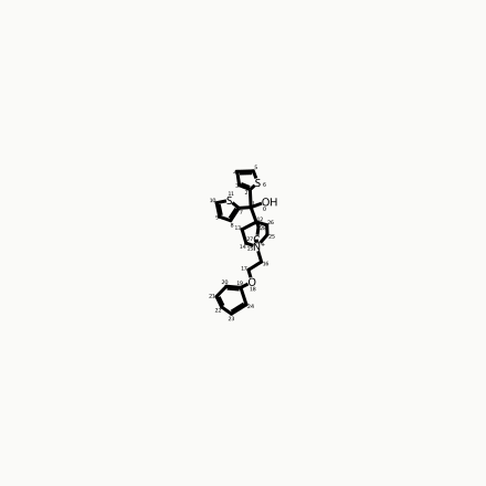 OC(c1cccs1)(c1cccs1)C12CC[N+](CCOc3ccccc3)(CC1)CC2